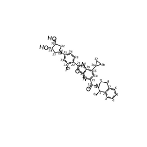 C[C@@H]1c2ccccc2CCN1C(=O)c1cc(C2CC2)c2nc(-c3ccc(N4C[C@H](O)[C@@H](O)C4)cc3F)oc2n1